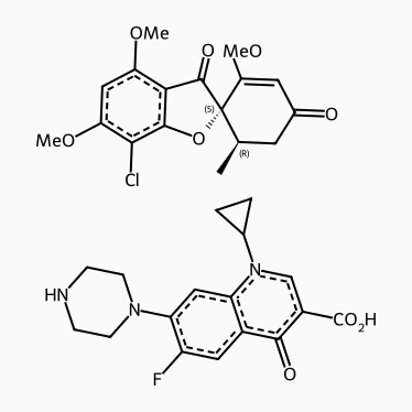 COC1=CC(=O)C[C@@H](C)[C@]12Oc1c(Cl)c(OC)cc(OC)c1C2=O.O=C(O)c1cn(C2CC2)c2cc(N3CCNCC3)c(F)cc2c1=O